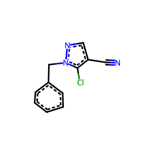 N#Cc1cnn(Cc2ccccc2)c1Cl